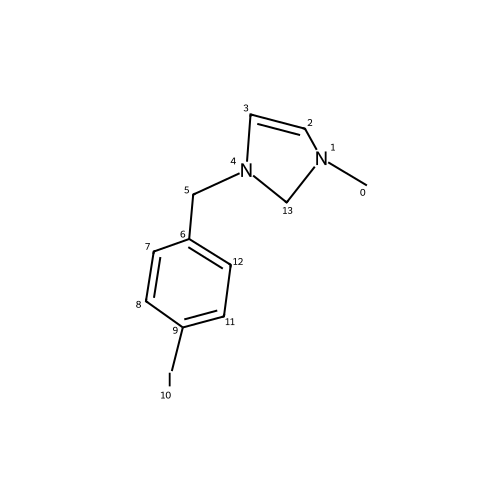 CN1C=CN(Cc2ccc(I)cc2)C1